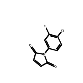 O=C1C=CC(=O)N1c1ccc(Cl)c(F)c1